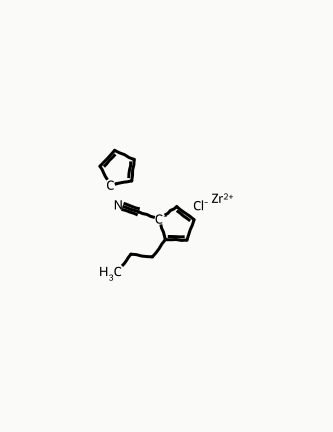 CCCc1ccc[c-]1C#N.[Cl-].[Zr+2].c1cc[cH-]c1